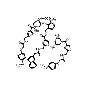 CC(C)(C)[N+]1(C(=O)c2csc(CNC(=O)COc3ccc(OC(F)(F)F)cc3)n2)CCC(NC(=O)[O-])CC1.COc1cccc(CNC(=O)c2csc(CNC(=O)Cc3ccc4ccccc4c3)n2)c1OC.C[C@@H]1CN(C(=O)c2csc(CNC(=O)COc3ccc(OC(F)(F)F)cc3)n2)C[C@H](C)O1